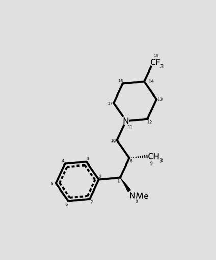 CN[C@@H](c1ccccc1)[C@@H](C)CN1CCC(C(F)(F)F)CC1